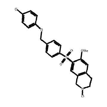 COc1cc2c(cc1S(=O)(=O)c1ccc(COc3ccc(Cl)cc3)cc1)CN(Cl)CC2